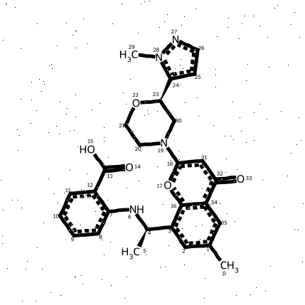 Cc1cc([C@@H](C)Nc2ccccc2C(=O)O)c2oc(N3CCO[C@@H](c4ccnn4C)C3)cc(=O)c2c1